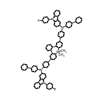 C[Si]1(C)c2ccc(-c3ccc(N(c4ccc(-c5ccccc5)cc4)c4ccc5c(c4)c4ccccc4n5-c4ccc(F)cc4)cc3)cc2-c2ccccc2-c2cc(-c3ccc(N(c4ccc(-c5ccccc5)cc4)c4ccc5c(c4)c4ccccc4n5-c4ccc(F)cc4)cc3)ccc21